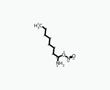 CCCCCCCC(N)ON=O